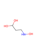 ONCCC(O)O